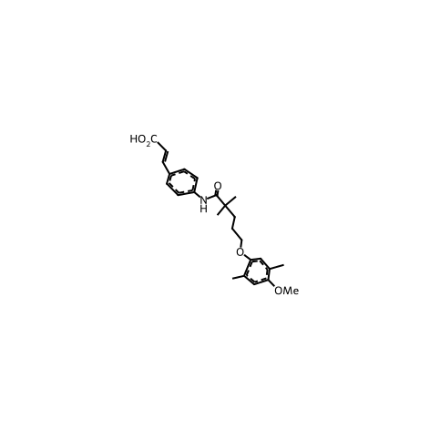 COc1cc(C)c(OCCCC(C)(C)C(=O)Nc2ccc(C=CC(=O)O)cc2)cc1C